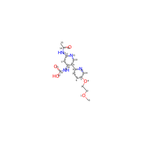 COCCOc1ccc(-c2cnc(NC(C)=O)cc2NC(=O)O)nc1